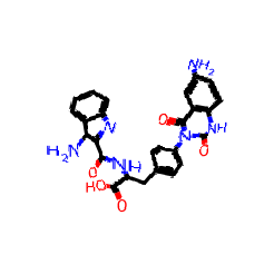 Nc1ccc2[nH]c(=O)n(-c3ccc(CC(NC(=O)C4=Nc5ccccc5C4N)C(=O)O)cc3)c(=O)c2c1